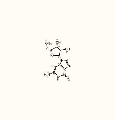 CC(C)COC[C@H]1O[C@@H](n2cnc3c(=O)[nH]c(N)nc32)[C@H](O)[C@@H]1O